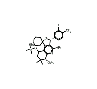 CC(=O)O[C@@H]1c2nc(C(C)C)c3c(c2C(O[Si](C)(C)C(C)(C)C)CC1(C)C)C1(CCOCC1)O[C@@H]3c1ccc(C(F)(F)F)c(F)c1